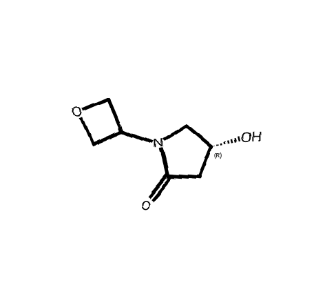 O=C1C[C@@H](O)CN1C1COC1